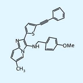 COc1ccc(CNc2c(-c3ccc(C#Cc4ccccc4)s3)nc3ccc(C)cn23)cc1